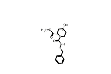 COC(=O)[C@@H]1C[C@H](O)CCN1C(=O)NOCc1ccccc1